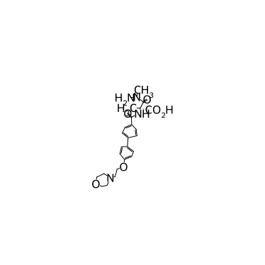 CN(N)C(=O)[C@](C)(NC(=O)c1ccc(-c2ccc(OCCN3CCOCC3)cc2)cc1)C(=O)O